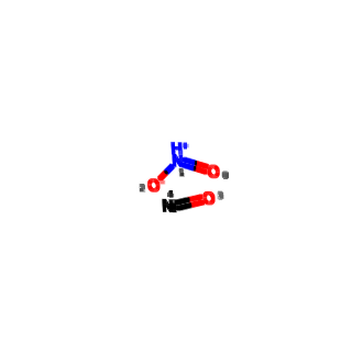 O=[NH+][O-].[O]=[Ni]